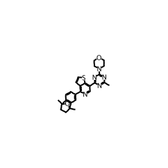 Cc1nc(-c2cnc(-c3ccc4c(c3)C3(C)CCC4(C)O3)c3ccsc23)nc(N2CCOCC2)n1